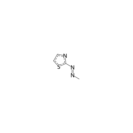 CN=Nc1nccs1